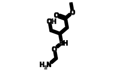 COC(=O)CC(BOCN)CO